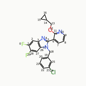 Fc1cc2nc(-c3cccnc3OCC3CC3)n(Cc3cccc(Cl)c3)c2cc1F